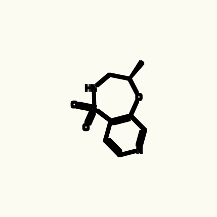 C[C@@H]1CNS(=O)(=O)c2ccncc2O1